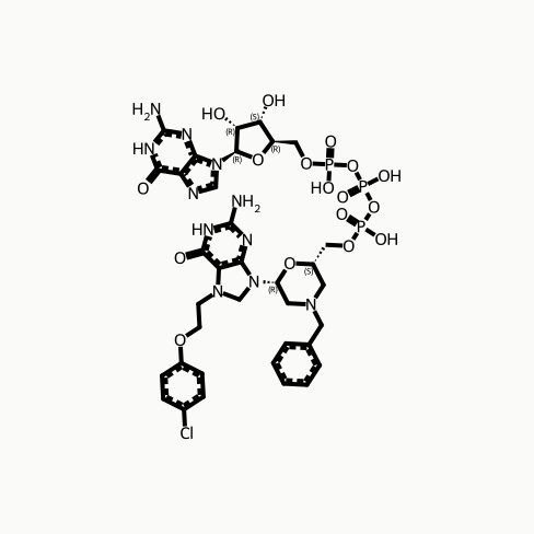 Nc1nc2c(c(=O)[nH]1)N(CCOc1ccc(Cl)cc1)CN2[C@H]1CN(Cc2ccccc2)C[C@@H](COP(=O)(O)OP(=O)(O)OP(=O)(O)OC[C@H]2O[C@@H](n3cnc4c(=O)[nH]c(N)nc43)[C@H](O)[C@@H]2O)O1